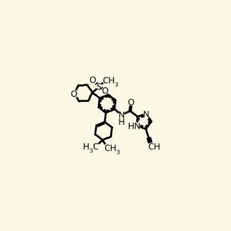 C#Cc1cnc(C(=O)Nc2ccc(C3(S(C)(=O)=O)CCOCC3)cc2C2=CCC(C)(C)CC2)[nH]1